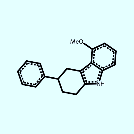 COc1cccc2[nH]c3c(c12)CC(c1ccccc1)CC3